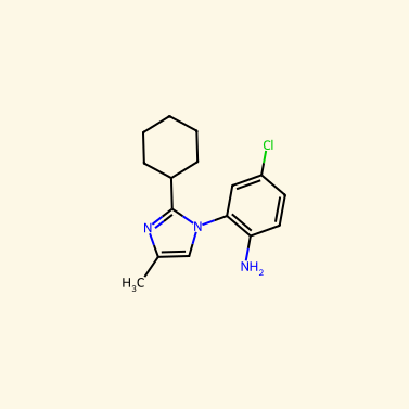 Cc1cn(-c2cc(Cl)ccc2N)c(C2CCCCC2)n1